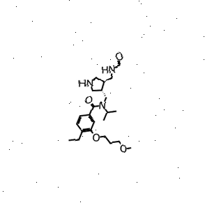 CCc1ccc(C(=O)N(C[C@@H]2CNC[C@H]2CNC=O)C(C)C)cc1OCCCOC